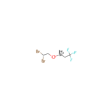 FC(F)(F)C[SiH2]OCC(Br)Br